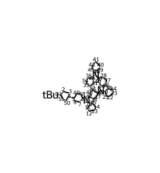 CC(C)(C)c1ccc(-c2ccc(-n3c4ccccc4c4cc(-n5c6ccccc6c6ccc7c(c8ccccc8n7-c7ccccc7)c65)ccc43)cc2)cc1